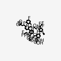 C#C[C@@H]1Cc2c(C(F)(F)F)nn(CC(=O)N[C@@H](Cc3cc(F)cc(F)c3)c3nc(CCC(C)(C)S(C)(=O)=O)ccc3-c3ccc(Cl)c4c(N(C(=O)Cc5ccccc5OP(=O)(O)O)S(C)(=O)=O)nn(CC(F)(F)F)c34)c2C1(F)F